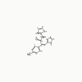 N#Cc1ccc(C(=Cc2cccs2)C(=O)Nc2nccs2)cc1